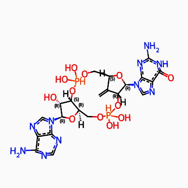 C=C1[C@H]2O[PH](O)(O)OC[C@H]3O[C@@H](n4cnc5c(N)ncnc54)[C@H](O)[C@@H]3O[PH](O)(O)OC[C@H]1O[C@H]2n1cnc2c(=O)[nH]c(N)nc21